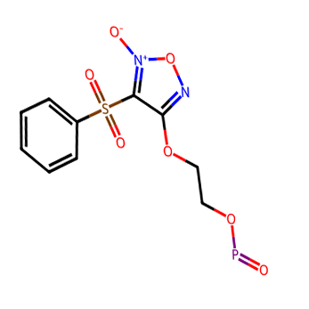 O=POCCOc1no[n+]([O-])c1S(=O)(=O)c1ccccc1